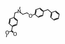 COC(=O)c1ccc(CN(C)CCOc2ccc(Cc3ccccc3)cc2)cc1